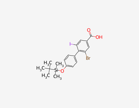 CC(C)(C)[Si](C)(C)Oc1ccc(-c2c(Br)cc(C(=O)O)cc2I)cc1